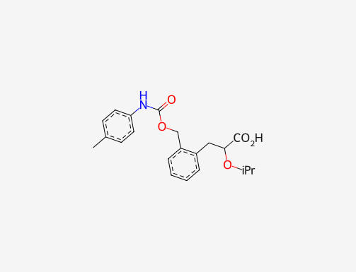 Cc1ccc(NC(=O)OCc2ccccc2CC(OC(C)C)C(=O)O)cc1